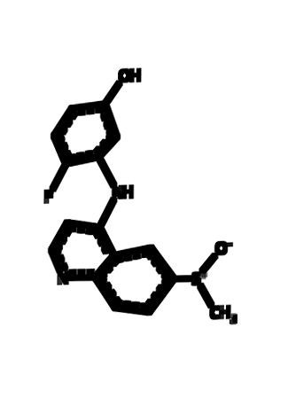 C[S+]([O-])c1ccc2nccc(Nc3cc(O)ccc3F)c2c1